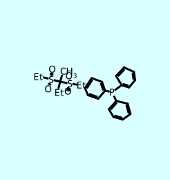 CCC(C)(S(=O)(=O)CC)S(=O)(=O)CC.c1ccc(P(c2ccccc2)c2ccccc2)cc1